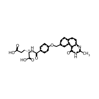 Cc1nc2ccc3ccc(COc4ccc(C(=O)N[C@@H](CCC(=O)O)C(=O)O)cc4)cc3c2c(=O)[nH]1